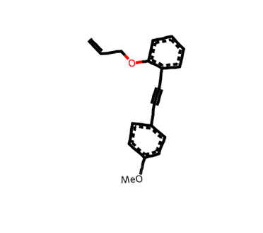 C=CCOc1ccccc1C#Cc1ccc(OC)cc1